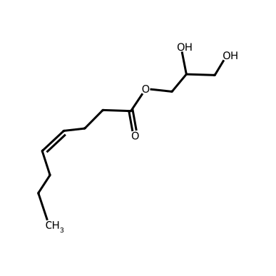 CCC/C=C\CCC(=O)OCC(O)CO